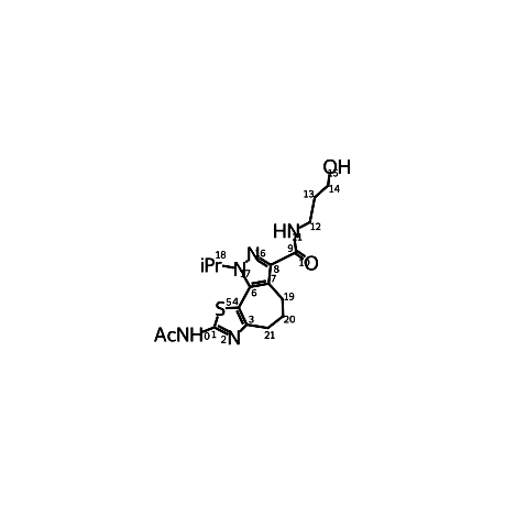 CC(=O)Nc1nc2c(s1)-c1c(c(C(=O)NCCCO)nn1C(C)C)CCC2